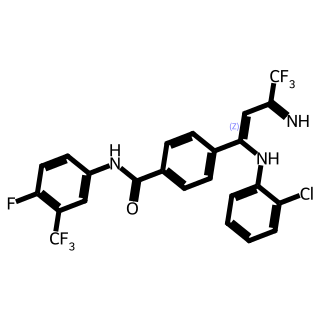 N=C(/C=C(\Nc1ccccc1Cl)c1ccc(C(=O)Nc2ccc(F)c(C(F)(F)F)c2)cc1)C(F)(F)F